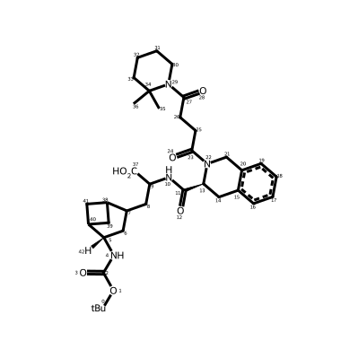 CC(C)(C)OC(=O)N[C@H]1CC(CC(NC(=O)[C@@H]2Cc3ccccc3CN2C(=O)CCC(=O)N2CCCCC2(C)C)C(=O)O)C2CC1C2